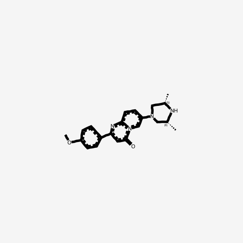 COc1ccc(-c2cc(=O)n3cc(N4C[C@@H](C)N[C@@H](C)C4)ccc3n2)cc1